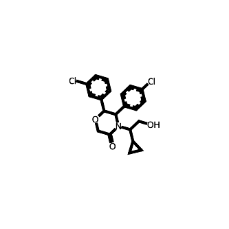 O=C1COC(c2cccc(Cl)c2)C(c2ccc(Cl)cc2)N1C(CO)C1CC1